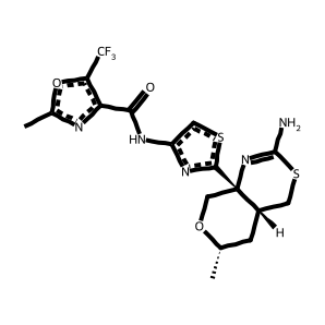 Cc1nc(C(=O)Nc2csc([C@]34CO[C@@H](C)C[C@H]3CSC(N)=N4)n2)c(C(F)(F)F)o1